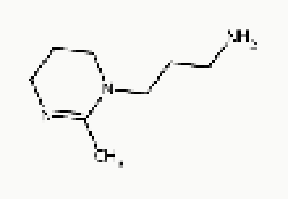 CC1=NCCCN1CCCN